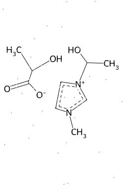 CC(O)C(=O)[O-].CC(O)[n+]1ccn(C)c1